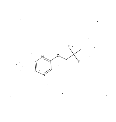 CC(F)(F)COc1cn[c]cn1